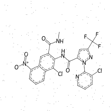 CNC(=O)c1cc2c([N+](=O)[O-])cccc2c(Cl)c1NC(=O)c1cc(C(F)(F)F)nn1-c1ncccc1Cl